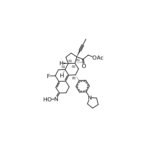 CC#C[C@]1(C(=O)COC(C)=O)CC[C@H]2[C@@H]3CC(F)C4=CC(=NO)CCC4=C3[C@@H](c3ccc(N4CCCC4)cc3)C[C@@]21C